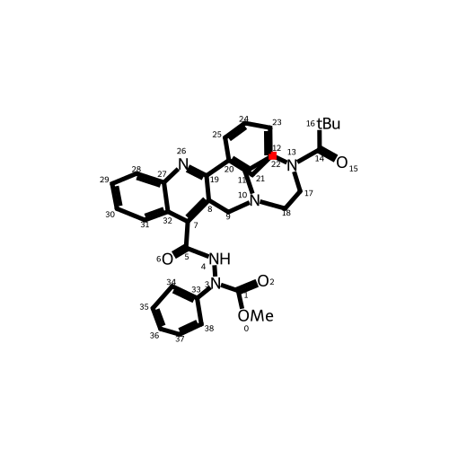 COC(=O)N(NC(=O)c1c(CN2CCN(C(=O)C(C)(C)C)CC2)c(-c2ccccc2)nc2ccccc12)c1ccccc1